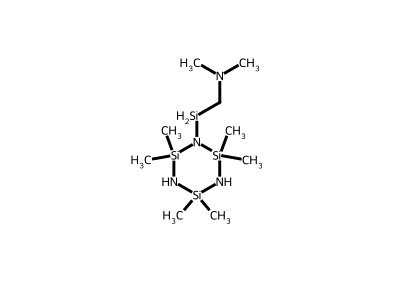 CN(C)C[SiH2]N1[Si](C)(C)N[Si](C)(C)N[Si]1(C)C